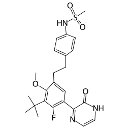 COc1c(CCc2ccc(NS(C)(=O)=O)cc2)cc(-c2ncc[nH]c2=O)c(F)c1C(C)(C)C